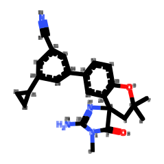 CN1C(=O)C2(CC(C)(C)Oc3ccc(-c4cc(C#N)cc(C5CC5)c4)cc32)N=C1N